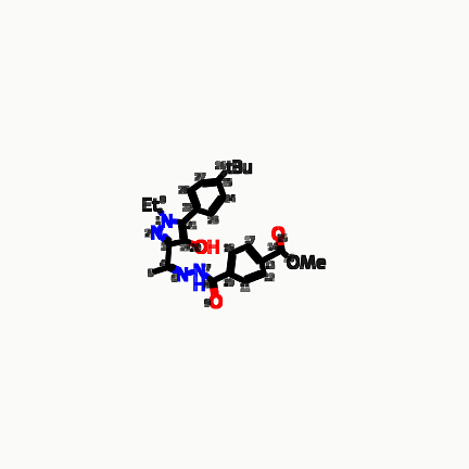 CCn1nc(/C(C)=N\NC(=O)c2ccc(C(=O)OC)cc2)c(O)c1-c1ccc(C(C)(C)C)cc1